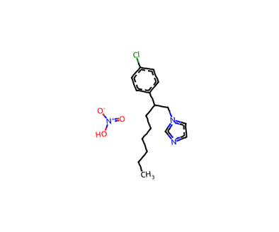 CCCCCCC(Cn1ccnc1)c1ccc(Cl)cc1.O=[N+]([O-])O